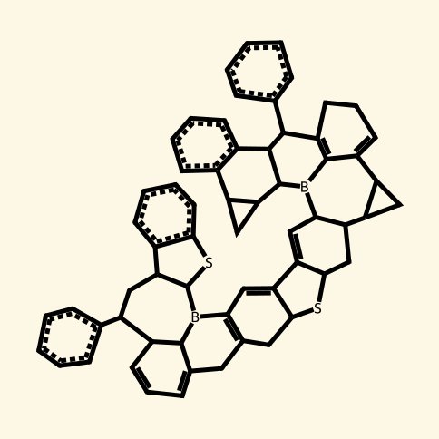 C1=CC2C3B(C4=C(CC3=C1)CC1SC3CC5C(C=C3C1=C4)B1C3=C(CCC=C3C3CC35)C(c3ccccc3)C3c4ccccc4C4CC4C13)C1Sc3ccccc3C1CC2c1ccccc1